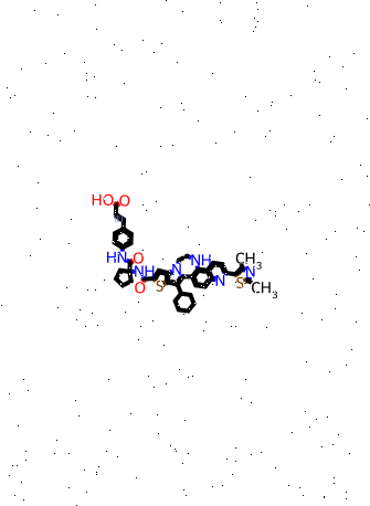 Cc1nc(C)c(-c2ccc3c4c(ccc3n2)-c2c(C3CCCCC3)c3sc(C(=O)NC5(C(=O)Nc6ccc(/C=C/C(=O)O)cc6)CCCC5)cc3n2CCN4)s1